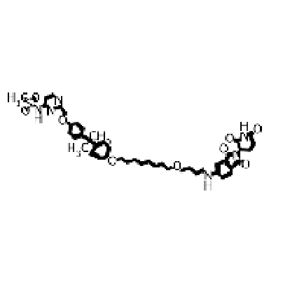 CC(C)(c1ccc(OCCCCCCCCOCCCCNc2ccc3c(c2)C(=O)N(C2CCC(=O)NC2=O)C3=O)cc1)c1ccc(OCc2nccc(NS(C)(=O)=O)n2)cc1